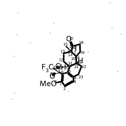 COc1ccc2c(c1S(=O)(=O)C(F)(F)F)[C@H]1CC[C@]3(C)C(=O)CC[C@H]3[C@@H]1CC2